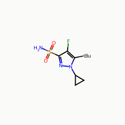 CC(C)(C)c1c(F)c(S(N)(=O)=O)nn1C1CC1